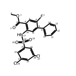 COC(=O)c1cc(F)c(-c2ccccc2)cc1NS(=O)(=O)c1cc(Cl)cc(Cl)c1